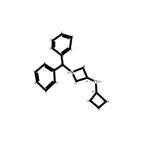 c1ccc(C(c2ccccc2)N2CC(OC3CCC3)C2)cc1